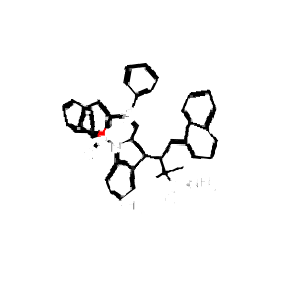 B.CC(C)(C(Cc1cccc2ccccc12)c1c(CP(c2ccccc2)c2ccccc2)n(S(=O)(=O)c2ccccc2)c2ccccc12)[S+](N)[O-]